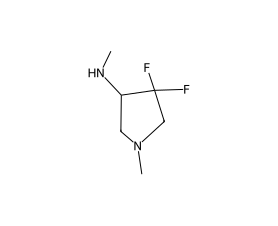 CNC1CN(C)CC1(F)F